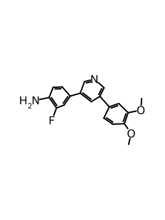 COc1ccc(-c2cncc(-c3ccc(N)c(F)c3)c2)cc1OC